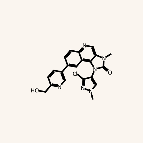 Cn1cc(-n2c(=O)n(C)c3cnc4ccc(-c5ccc(CO)nc5)cc4c32)c(Cl)n1